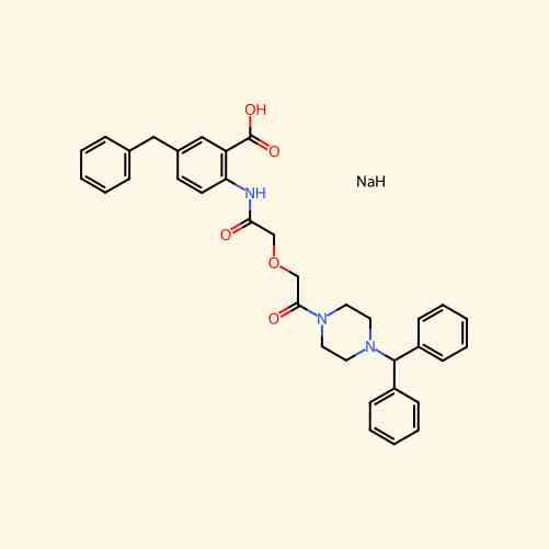 O=C(COCC(=O)N1CCN(C(c2ccccc2)c2ccccc2)CC1)Nc1ccc(Cc2ccccc2)cc1C(=O)O.[NaH]